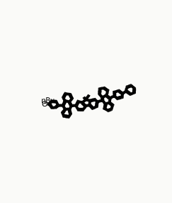 CCCCOc1ccc(-c2c3ccccc3c(-c3ccc4c(c3)C(C)(C)c3cc(-c5c6ccccc6c(-c6ccc(-c7ccccc7)cc6)c6ccccc56)ccc3-4)c3ccccc23)cc1